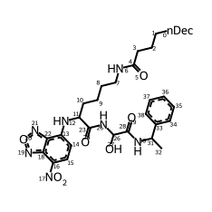 CCCCCCCCCCCCCC(=O)NCCCCC(Nc1ccc([N+](=O)[O-])c2nonc12)C(=O)NC(O)C(=O)NC(C)c1ccccc1